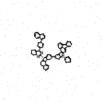 c1ccc(-n2c3ccc(-c4ccc5c(c4)c4c6ccccc6ccc4n5-c4nc(-c5ccc(-c6cccc7ccccc67)cc5)c5ccccc5n4)cc3c3c4cccc5c4c(cc32)-c2ccccc2-5)cc1